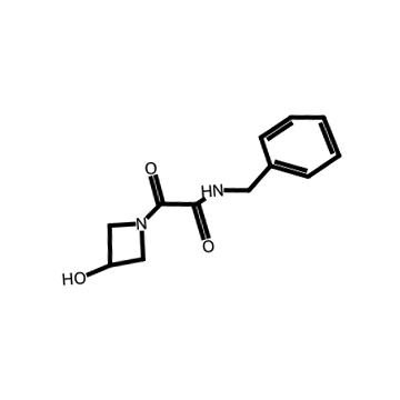 O=C(NCc1ccccc1)C(=O)N1CC(O)C1